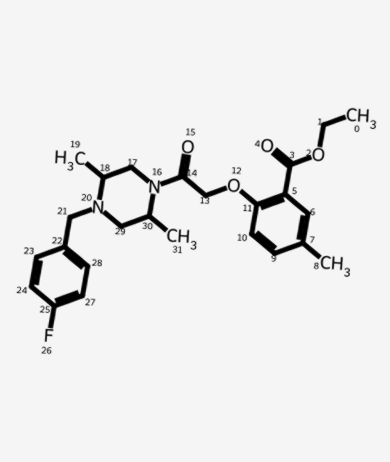 CCOC(=O)c1cc(C)ccc1OCC(=O)N1CC(C)N(Cc2ccc(F)cc2)CC1C